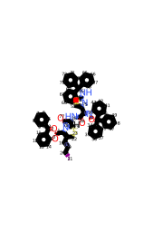 O=C(OC(c1ccccc1)c1ccccc1)C1=C(/C=C/CI)CS[C@H]2C(NC(=O)/C(=N\OC(c3ccccc3)(c3ccccc3)c3ccccc3)c3csc(NC(c4ccccc4)(c4ccccc4)c4ccccc4)n3)C(=O)N12